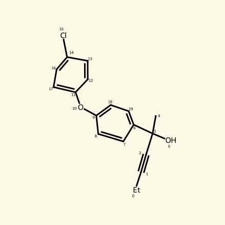 CCC#CC(C)(O)c1ccc(Oc2ccc(Cl)cc2)cc1